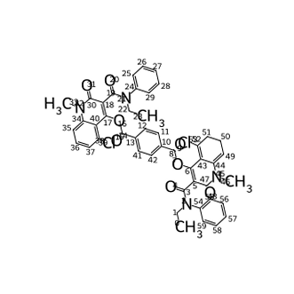 CCN(C(=O)c1c(OC(=O)c2ccc(C(=O)Oc3c(C(=O)N(CC)c4ccccc4)c(=O)n(C)c4cccc(Cl)c34)cc2)c2c(n(C)c1=O)=CCCC=2Cl)c1ccccc1